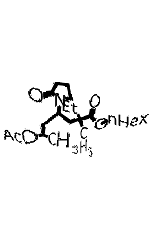 CCCCCCOC(=O)C(C)(CC)CC(CC(C)OC(C)=O)N1CCCC1=O